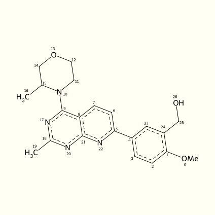 COc1ccc(-c2ccc3c(N4CCOCC4C)nc(C)nc3n2)cc1CO